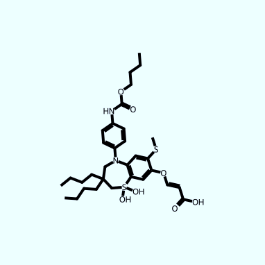 CCCCOC(=O)Nc1ccc(N2CC(CCCC)(CCCC)CS(O)(O)c3cc(O/C=C/C(=O)O)c(SC)cc32)cc1